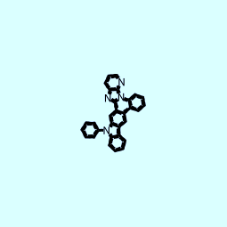 c1ccc(-n2c3ccccc3c3cc4c5ccccc5n5c6ncccc6nc5c4cc32)cc1